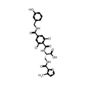 Cc1ccsc1C(=O)NC[C@H](NC(=O)c1c(Cl)cc(C(=O)NCc2cccc(O)c2)cc1Cl)C(=O)O